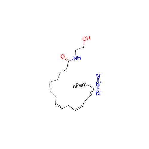 CCCCC/C=C\C/C=C\C/C=C\C/C=C\CCCC(=O)NCCO.[N-]=[N+]=[N-]